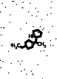 [CH2]CC1CCN(C(C)C2CCCCN2)CC1